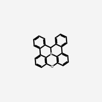 c1ccc2c(c1)-c1cccc3c1N1c4c(cccc4-c4ccccc4C21)O3